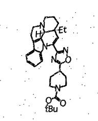 CC[C@@]12C=C(c3noc(C4CCN(C(=O)OC(C)(C)C)CC4)n3)n3c4c(c5ccccc53)CCN(CCC1)[C@H]42